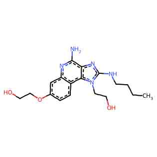 CCCCNc1nc2c(N)nc3cc(OCCO)ccc3c2n1CCO